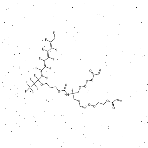 C=CC(=O)OCCOO/C=C\OCC(C)(COOOOC(=O)C=C)NC(=O)OCCCOC(F)(/C(F)=C(F)/C(F)=C(F)/C(F)=C(F)/C(F)=C(\F)CF)C(F)(F)C(F)(F)F